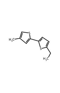 CCc1ccc(-c2cc(C)cs2)s1